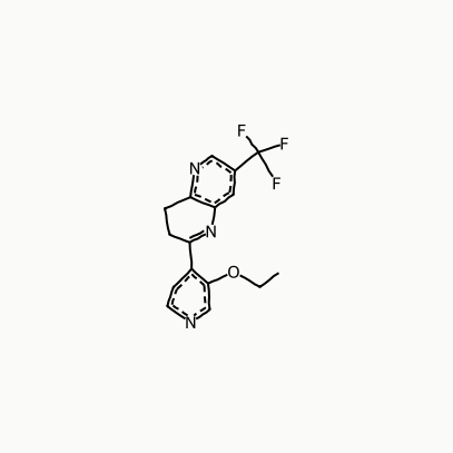 CCOc1cnccc1C1=Nc2cc(C(F)(F)F)cnc2CC1